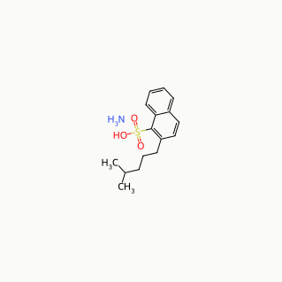 CC(C)CCCc1ccc2ccccc2c1S(=O)(=O)O.N